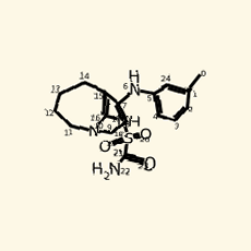 Cc1cccc(NC2=CCN3CCCCC2=C3NS(=O)(=O)C(N)=O)c1